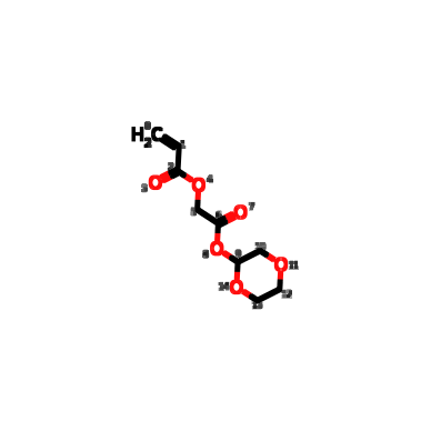 C=CC(=O)OCC(=O)OC1COCCO1